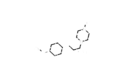 CC(C)O[C@H]1CC[C@H](CC[C@@H](C)N2CCN(C(C)C)CC2)CC1